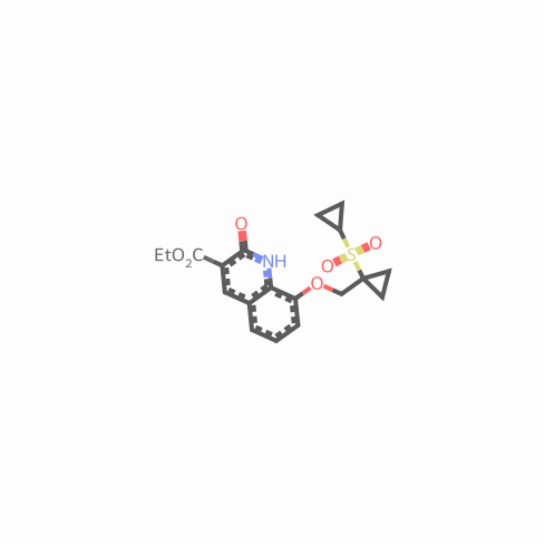 CCOC(=O)c1cc2cccc(OCC3(S(=O)(=O)C4CC4)CC3)c2[nH]c1=O